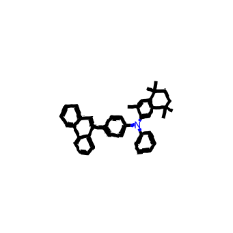 Cc1cc2c(cc1N(c1ccccc1)c1ccc(-c3cc4ccccc4c4ccccc34)cc1)C(C)(C)CCC2(C)C